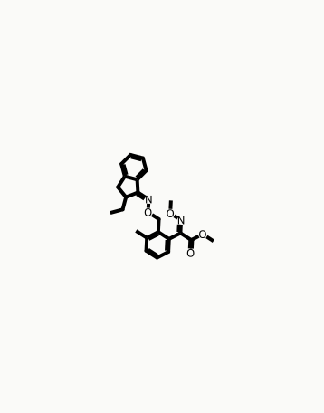 CCC1Cc2ccccc2/C1=N/OCc1c(C)cccc1/C(=N\OC)C(=O)OC